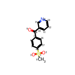 CS(=O)(=O)c1ccc(C(=O)c2cccnc2)cc1